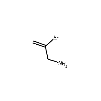 C=C(Br)CN